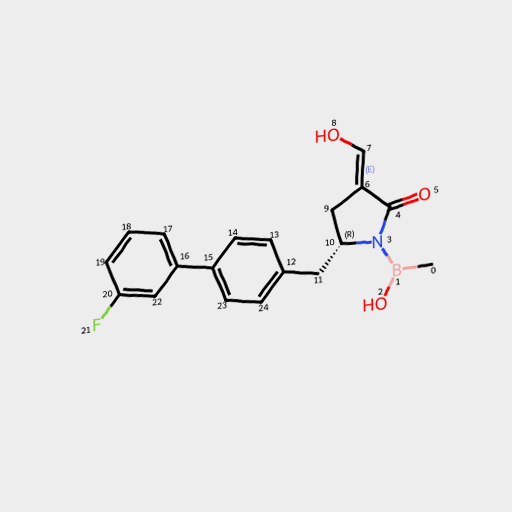 CB(O)N1C(=O)/C(=C/O)C[C@H]1Cc1ccc(-c2cccc(F)c2)cc1